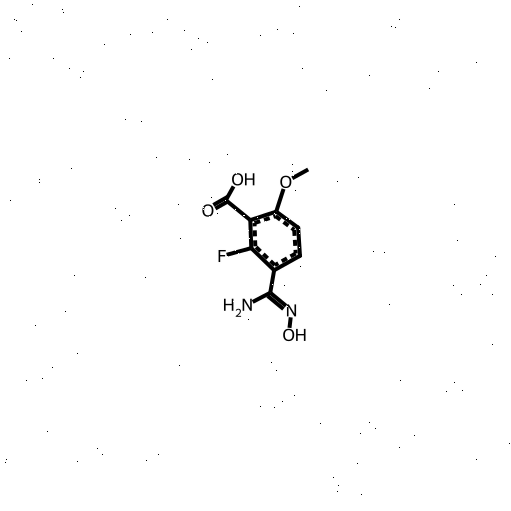 COc1ccc(/C(N)=N/O)c(F)c1C(=O)O